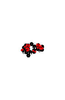 c1ccc(-c2cccc(-c3cc(-c4cccc(-c5cccc(-c6cccc7c6-c6ccccc6C76c7ccccc7Oc7cc(-c8ccccc8-c8nc(-c9ccccc9)cc(-c9ccc%10c(ccc%11ccccc%11%10)c9)n8)ccc76)c5)c4)nc(-c4ccccc4-c4ccc5c(c4)Oc4ccccc4C54c5ccccc5-c5ccccc54)n3)c2)cc1